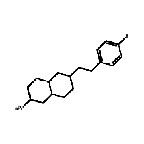 CCCC1CCC2CC(CCc3ccc(F)cc3)CCC2C1